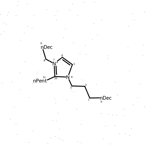 CCCCCCCCCCCCCn1cc[n+](CCCCCCCCCCC)c1CCCCC